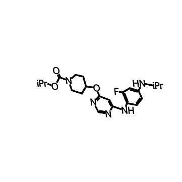 CC(C)Nc1ccc(Nc2cc(OC3CCN(C(=O)OC(C)C)CC3)ncn2)c(F)c1